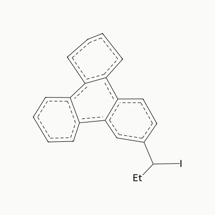 CCC(I)c1ccc2c3ccccc3c3ccccc3c2c1